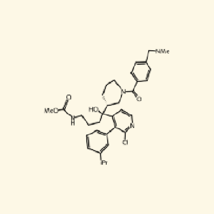 CNCc1ccc(C(=O)N2CCC[C@@H]([C@@](O)(CCCNC(=O)OC)c3ccnc(Cl)c3-c3cccc(C(C)C)c3)C2)cc1